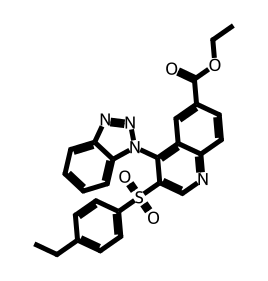 CCOC(=O)c1ccc2ncc(S(=O)(=O)c3ccc(CC)cc3)c(-n3nnc4ccccc43)c2c1